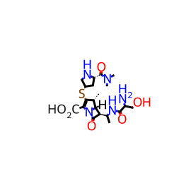 CC(NC(=O)C(N)CO)[C@H]1C(=O)N2C(C(=O)O)=C(S[C@@H]3CN[C@H](C(=O)N(C)C)C3)[C@H](C)[C@H]12